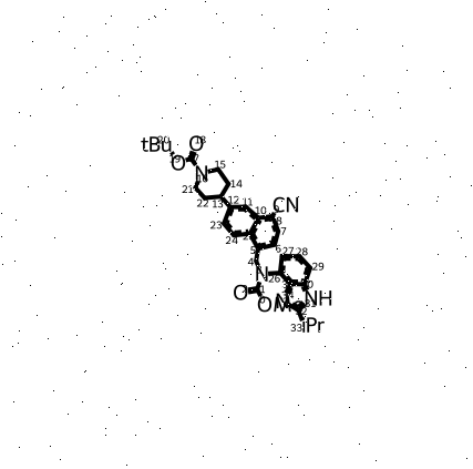 COC(=O)N(Cc1ccc(C#N)c2cc(C3CCN(C(=O)OC(C)(C)C)CC3)ccc12)c1cccc2[nH]c(C(C)C)nc12